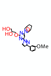 COc1cccc(-c2ccn(-c3cc(N4CC5CCC(C4)O5)nc(OCC(O)CO)n3)n2)c1